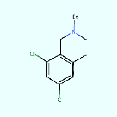 CCN(C)Cc1c(C)cc(Cl)cc1Cl